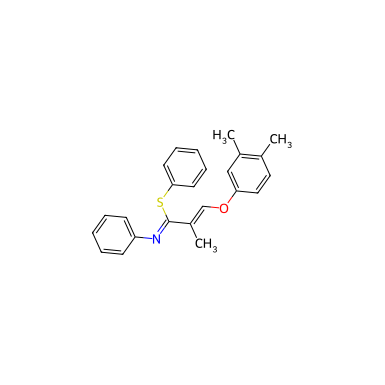 CC(=C\Oc1ccc(C)c(C)c1)/C(=N/c1ccccc1)Sc1ccccc1